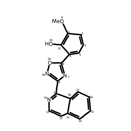 COc1cccc(-c2nc(-c3nccc4ccccc34)no2)c1O